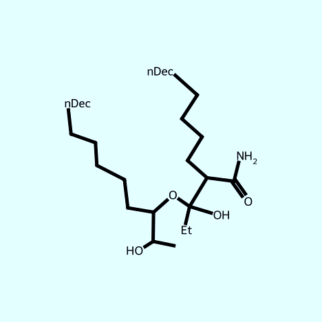 CCCCCCCCCCCCCCCC(OC(O)(CC)C(CCCCCCCCCCCCCC)C(N)=O)C(C)O